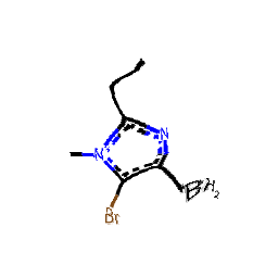 Bc1nc(CC)n(C)c1Br